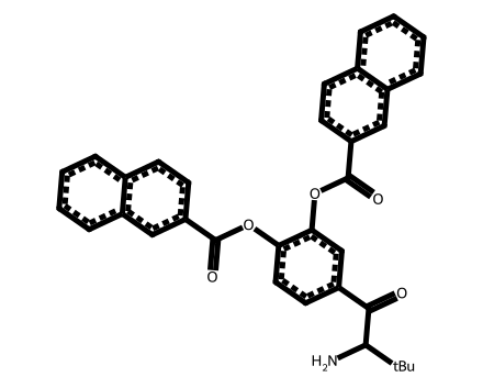 CC(C)(C)C(N)C(=O)c1ccc(OC(=O)c2ccc3ccccc3c2)c(OC(=O)c2ccc3ccccc3c2)c1